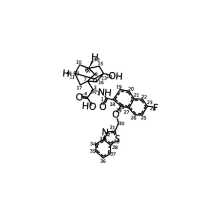 O=C(N[C@H](C(=O)O)C12C[C@@H]3C[C@@H](CC(O)(C3)C1)C2)c1ccc2cc(F)ccc2c1OCc1nc2ccccc2s1